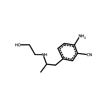 CC(Cc1ccc(N)c(C#N)c1)NCCO